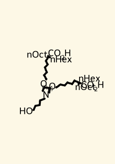 CCCCCCCCC(CCCCCC)(CCCCCCO[C@H]1CN(CCCCCO)C[C@H]1OCCCCCCC(CCCCCC)(CCCCCCCC)C(=O)O)C(=O)O